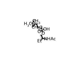 CCC(COP(=O)(O)OCC[N+](C)(C)C)NC(C)=O